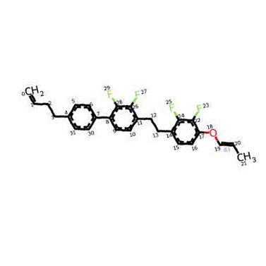 C=CCCc1ccc(-c2ccc(CCc3ccc(O/C=C/C)c(F)c3F)c(F)c2F)cc1